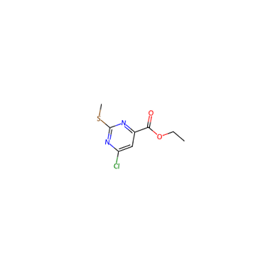 CCOC(=O)c1cc(Cl)nc(SC)n1